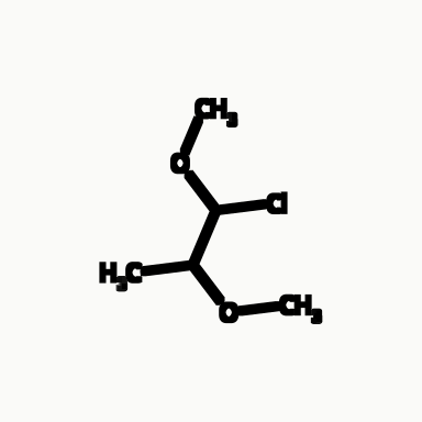 COC(C)C(Cl)OC